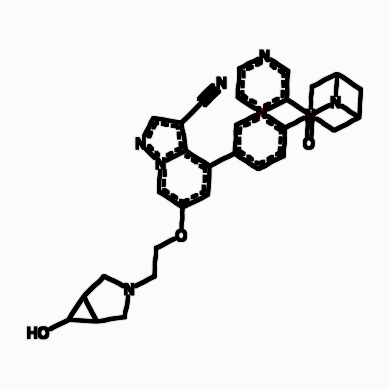 N#Cc1cnn2cc(OCCN3CC4C(O)C4C3)cc(-c3ccc(N4CC5CC(C4)N5C(=O)c4cnccn4)nc3)c12